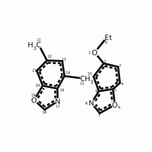 CCOc1ccc2ocnc2c1.Cc1cc(C)c2ncoc2c1